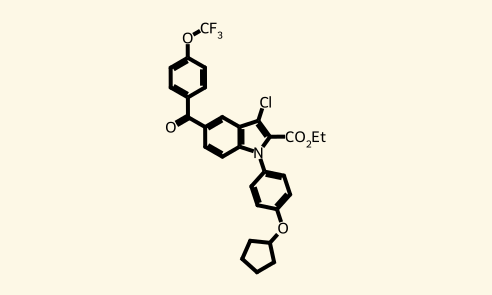 CCOC(=O)c1c(Cl)c2cc(C(=O)c3ccc(OC(F)(F)F)cc3)ccc2n1-c1ccc(OC2CCCC2)cc1